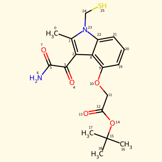 Cc1c(C(=O)C(N)=O)c2c(OCC(=O)OC(C)(C)C)cccc2n1CS